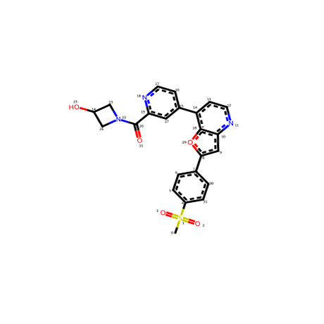 CS(=O)(=O)c1ccc(-c2cc3nccc(-c4ccnc(C(=O)N5CC(O)C5)c4)c3o2)cc1